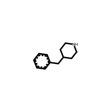 [CH]1CC(Cc2ccccc2)CCN1